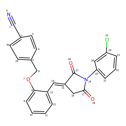 N#Cc1ccc(COc2ccccc2/C=C2\CC(=O)N(c3cccc(Cl)c3)C2=O)cc1